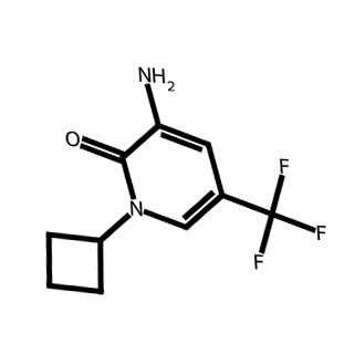 Nc1cc(C(F)(F)F)cn(C2CCC2)c1=O